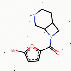 O=C(c1ccc(Br)o1)N1CC2CCNCC21